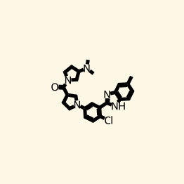 Cc1ccc2[nH]c(-c3cc(N4CCC(C(=O)N5CCC(N(C)C)C5)C4)ccc3Cl)nc2c1